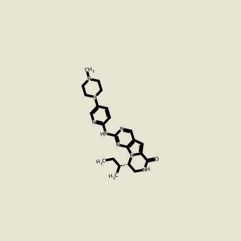 CCC(C)[C@H]1CNC(=O)c2cc3cnc(Nc4ccc(N5CCN(C)CC5)cn4)nc3n21